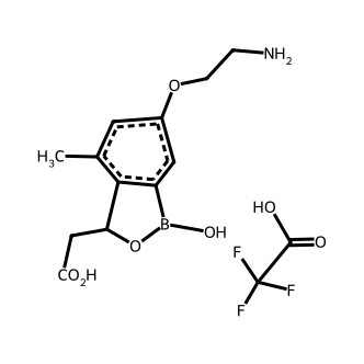 Cc1cc(OCCN)cc2c1C(CC(=O)O)OB2O.O=C(O)C(F)(F)F